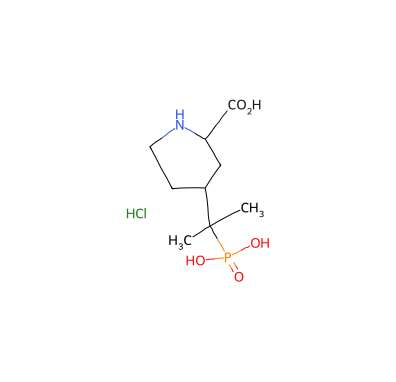 CC(C)(C1CCNC(C(=O)O)C1)P(=O)(O)O.Cl